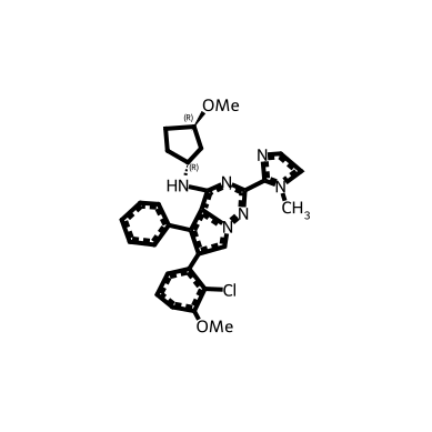 COc1cccc(-c2cn3nc(-c4nccn4C)nc(N[C@@H]4CC[C@@H](OC)C4)c3c2-c2ccccc2)c1Cl